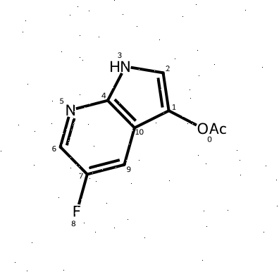 CC(=O)Oc1c[nH]c2ncc(F)cc12